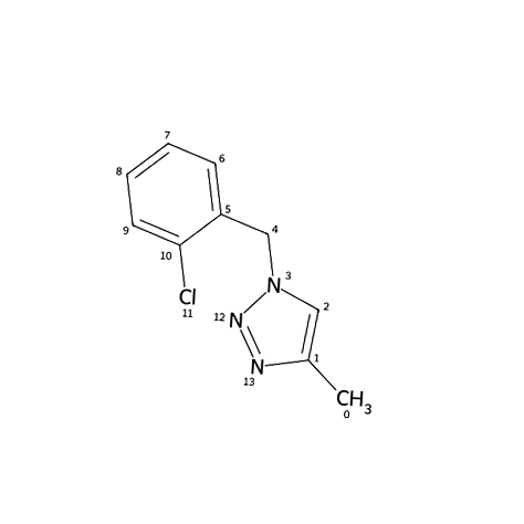 Cc1cn(Cc2ccccc2Cl)nn1